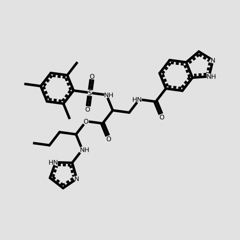 CCCC(Nc1ncc[nH]1)OC(=O)C(CNC(=O)c1ccc2cn[nH]c2c1)NS(=O)(=O)c1c(C)cc(C)cc1C